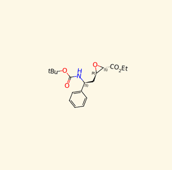 CCOC(=O)[C@H]1O[C@@H]1C[C@H](NC(=O)OC(C)(C)C)c1ccccc1